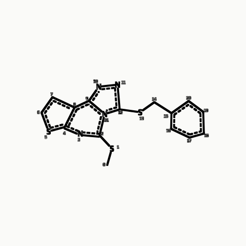 CSc1nc2sccc2c2nnc(SCc3ccccc3)n12